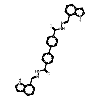 O=C(N/N=C/c1cccc2cc[nH]c12)c1ccc(-c2ccc(C(=O)N/N=C/c3cccc4cc[nH]c34)cc2)cc1